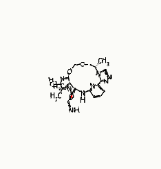 C/C=C1/C(=O)Nc2cccc(n2)-c2nncn2[C@@H](C)CCCO/C1=N/C(C)C(C)/N=C\C=N